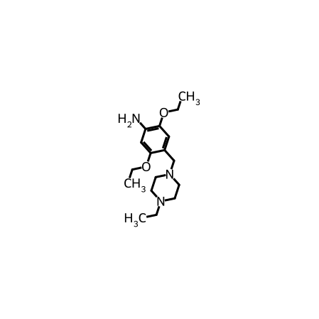 CCOc1cc(CN2CCN(CC)CC2)c(OCC)cc1N